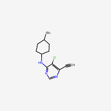 C#Cc1ncnc(NC2CCC(C(C)(C)C)CC2)c1Cl